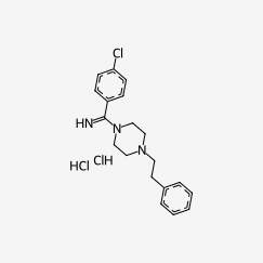 Cl.Cl.N=C(c1ccc(Cl)cc1)N1CCN(CCc2ccccc2)CC1